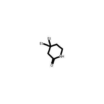 CCC1(CC)CCNC(=O)C1